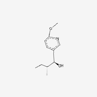 CC[C@@H](C)[C@H](O)c1ccc(OC)nc1